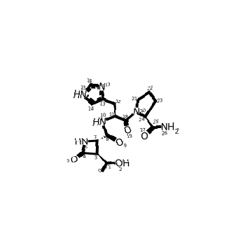 CC(O)[C@H]1C(=O)N[C@@H]1C(=O)N[C@@H](Cc1c[nH]cn1)C(=O)N1CCC[C@H]1C(N)=O